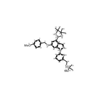 COc1ccc(COc2cc(B3OC(C)(C)C(C)(C)O3)c3cnn(-c4cccc(CO[Si](C)(C)C(C)(C)C)n4)c3c2)cc1